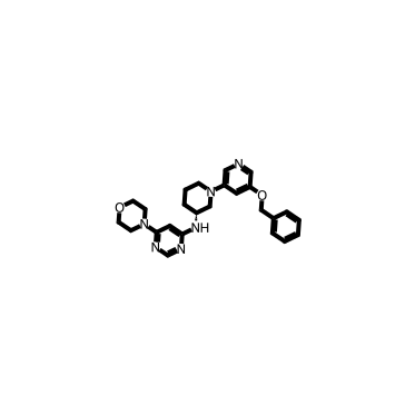 c1ccc(COc2cncc(N3CCC[C@@H](Nc4cc(N5CCOCC5)ncn4)C3)c2)cc1